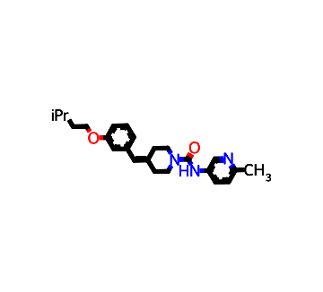 Cc1ccc(NC(=O)N2CCC(=Cc3cccc(OCCC(C)C)c3)CC2)cn1